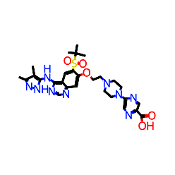 Cc1n[nH]c(Nc2ncnc3cc(OCCN4CCN(c5cnc(C(=O)O)cn5)CC4)c(S(=O)(=O)C(C)(C)C)cc23)c1C